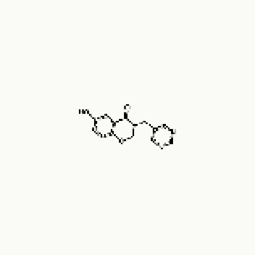 O=C1c2cc(O)ccc2OCC1Cc1cncnc1